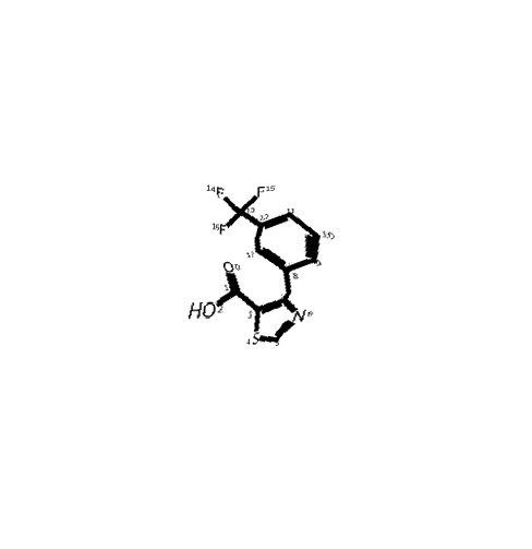 O=C(O)c1scnc1-c1cccc(C(F)(F)F)c1